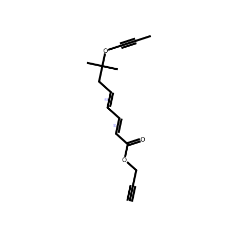 C#CCOC(=O)/C=C/C=C/CC(C)(C)OC#CC